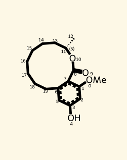 COc1cc(O)cc2c1C(=O)O[C@@H](C)CCCCCCC2